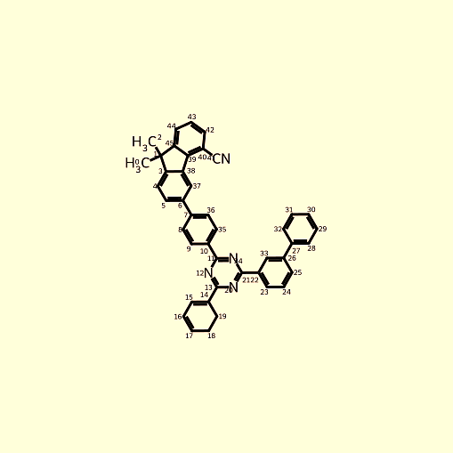 CC1(C)c2ccc(-c3ccc(-c4nc(C5=CC=CCC5)nc(-c5cccc(-c6ccccc6)c5)n4)cc3)cc2-c2c(C#N)cccc21